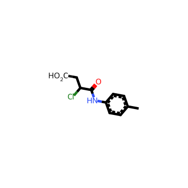 Cc1ccc(NC(=O)C(Cl)CC(=O)O)cc1